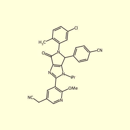 COc1ncc(CC#N)cc1-c1nc2c(n1C(C)C)C(c1ccc(C#N)cc1)N(c1cc(Cl)ccc1C)C2=O